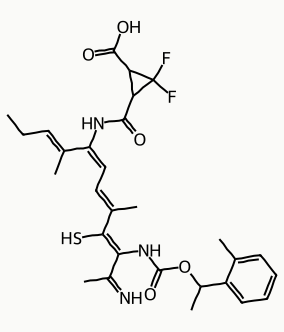 CC/C=C(C)/C(=C\C=C(C)\C(S)=C(/NC(=O)OC(C)c1ccccc1C)C(C)=N)NC(=O)C1C(C(=O)O)C1(F)F